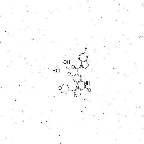 Cl.O=C(c1cc2[nH]c(=O)c3cnc(C4CCOCC4)n3c2cc1OCCO)N1CCc2cc(F)ccc21